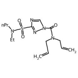 C=CCN(CC=C)C(=O)n1cnc(S(=O)(=O)N(CC)CCC)n1